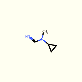 CN(C=N)C1CC1